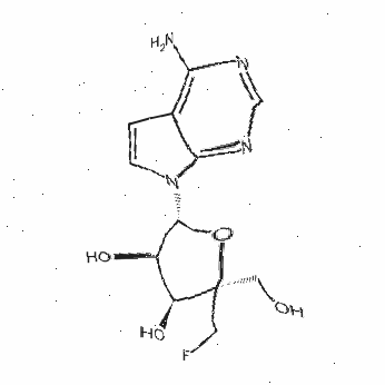 Nc1ncnc2c1ccn2[C@@H]1O[C@@](CO)(CF)[C@@H](O)[C@H]1O